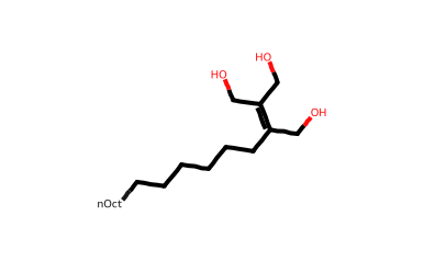 CCCCCCCCCCCCCCC(CO)=C(CO)CO